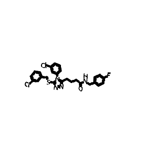 O=C(CCCc1nnc(SCc2cccc(Cl)c2)n1-c1cccc(Cl)c1)NCc1ccc(F)cc1